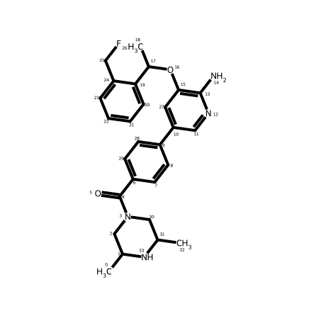 CC1CN(C(=O)c2ccc(-c3cnc(N)c(OC(C)c4ccccc4CF)c3)cc2)CC(C)N1